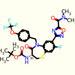 CN(C)C(=O)c1nc(-c2cc3c(cc2F)SC[C@H](NC(=O)OC(C)(C)C)C(=O)N3Cc2ccc(OC(F)(F)F)cc2)no1